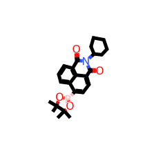 CC1(C)OB(c2ccc3c4c(cccc24)C(=O)N(C2CCCCC2)C3=O)OC1(C)C